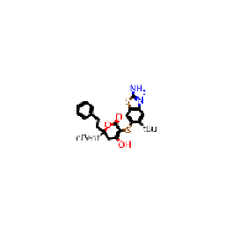 CCCCC[C@]1(CCc2ccccc2)CC(O)=C(Sc2cc3sc(N)nc3cc2C(C)(C)C)C(=O)O1